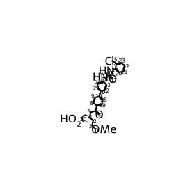 COCCC(CC(=O)c1ccc(-c2ccc(NC(=O)Nc3ccccc3Cl)cc2)cc1)C(=O)O